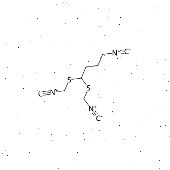 [C-]#[N+]CCCC(SC[N+]#[C-])SC[N+]#[C-]